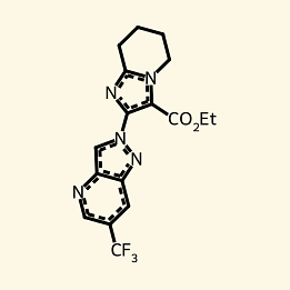 CCOC(=O)c1c(-n2cc3ncc(C(F)(F)F)cc3n2)nc2n1CCCC2